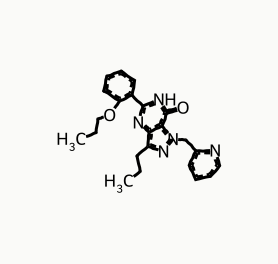 CCCOc1ccccc1-c1nc2c(CCC)nn(Cc3ccccn3)c2c(=O)[nH]1